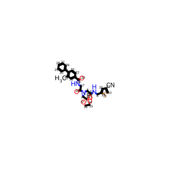 CCC1(CN(CC(=O)NCc2cc(C#N)cs2)C(=O)CNC(=O)c2ccc(-c3ccccc3)c(C)c2)OCCO1